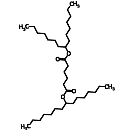 CCCCCCCC(CCCCCCC)OC(=O)CCCCC(=O)OC(CCCCCCC)CCCCCCC